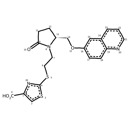 O=C(O)c1csc(SCCN2C(=O)CC[C@@H]2COc2ccc3ncccc3c2)n1